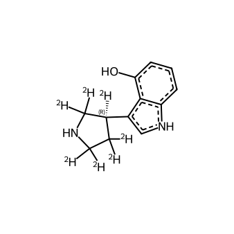 [2H]C1([2H])NC([2H])([2H])[C@@]([2H])(c2c[nH]c3cccc(O)c23)C1([2H])[2H]